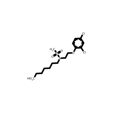 CS(=O)(=O)N(CCCCCCC(=O)O)CCOc1ccc(Cl)cc1Cl